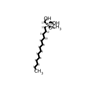 CCCCCCCCCCCCCC[Si](CO)(CO)OC